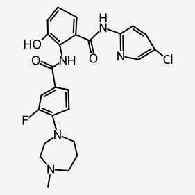 CN1CCCN(c2ccc(C(=O)Nc3c(O)cccc3C(=O)Nc3ccc(Cl)cn3)cc2F)CC1